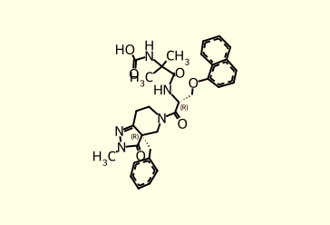 CN1N=C2CCN(C(=O)[C@@H](COc3cccc4ccccc34)NC(=O)C(C)(C)NC(=O)O)C[C@@]2(Cc2ccccc2)C1=O